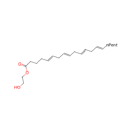 CCCCCC=CCC=CCC=CCC=CCCCC(=O)OCCO